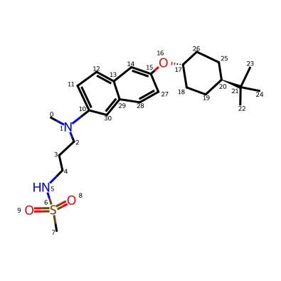 CN(CCCNS(C)(=O)=O)c1ccc2cc(O[C@H]3CC[C@H](C(C)(C)C)CC3)ccc2c1